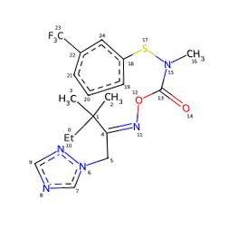 CCC(C)(C)C(Cn1cncn1)=NOC(=O)N(C)Sc1cccc(C(F)(F)F)c1